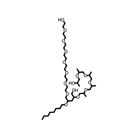 CCCCCCCCOC(COCCOCCOCCOCCOCCOCCOCCO)CC(CO)OCC(C)OCC(C)OCC(C)OCC(C)OCC(C)O